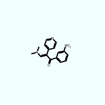 CN(C)C=C(C(=O)c1cccc([N+](=O)[O-])c1)c1ccncc1